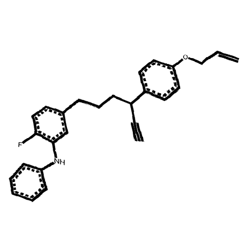 C#CC(CCCc1ccc(F)c(Nc2ccccc2)c1)c1ccc(OCC=C)cc1